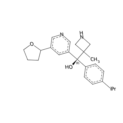 CC(C)c1ccc([C@](O)(c2cncc(C3CCCO3)c2)C2(C)CNC2)cc1